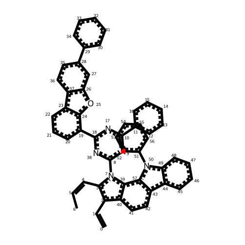 C=Cc1c(/C=C\C)n(-c2nc(-c3ccccc3)nc(-c3cccc4c3oc3cc(-c5ccccc5)ccc34)n2)c2c1ccc1c3ccccc3n(-c3ccccc3)c12